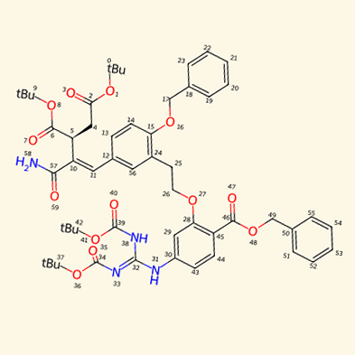 CC(C)(C)OC(=O)C[C@H](C(=O)OC(C)(C)C)/C(=C\c1ccc(OCc2ccccc2)c(CCOc2cc(N/C(=N/C(=O)OC(C)(C)C)NC(=O)OC(C)(C)C)ccc2C(=O)OCc2ccccc2)c1)C(N)=O